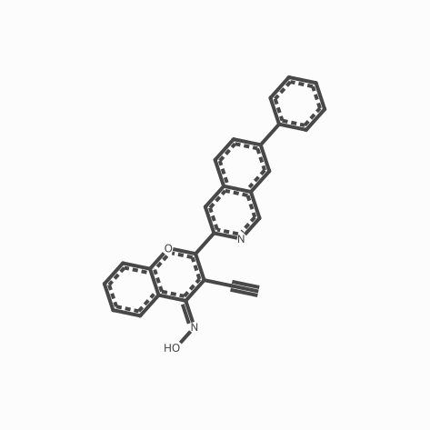 C#Cc1c(-c2cc3ccc(-c4ccccc4)cc3cn2)oc2ccccc2c1=NO